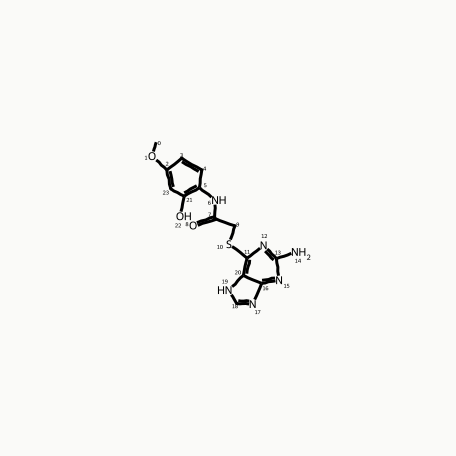 COc1ccc(NC(=O)CSc2nc(N)nc3nc[nH]c23)c(O)c1